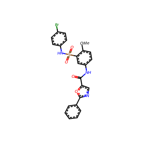 COc1ccc(NC(=O)c2cnc(-c3ccccc3)o2)cc1S(=O)(=O)Nc1ccc(Br)cc1